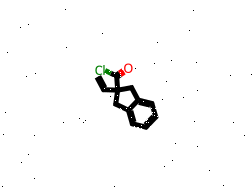 C=CC1(C(=O)Cl)Cc2ccccc2C1